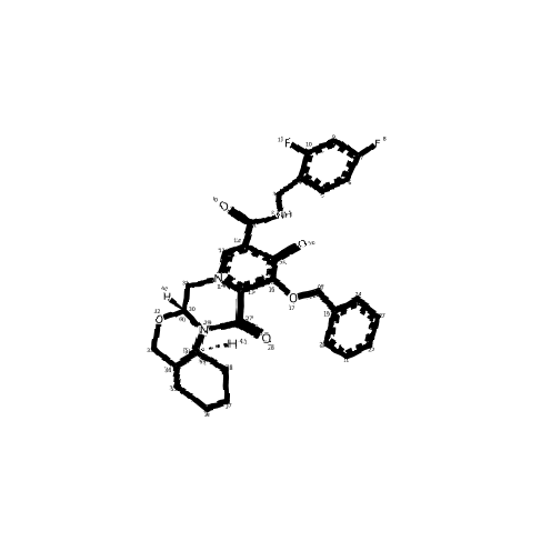 O=C(NCc1ccc(F)cc1F)c1cn2c(c(OCc3ccccc3)c1=O)C(=O)N1[C@@H](C2)OCC2CCCC[C@@H]21